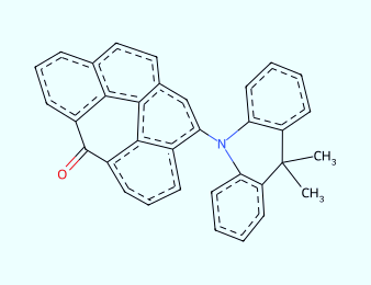 CC1(C)c2ccccc2N(c2cc3ccc4cccc5c4c3c3c(cccc23)C5=O)c2ccccc21